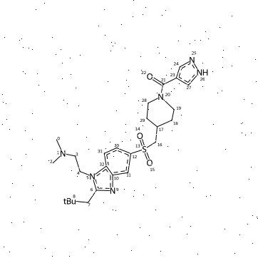 CN(C)CCn1c(CC(C)(C)C)nc2cc(S(=O)(=O)CC3CCN(C(=O)c4cn[nH]c4)CC3)ccc21